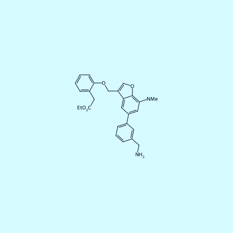 CCOC(=O)Cc1ccccc1OCc1coc2c(NC)cc(-c3cccc(CN)c3)cc12